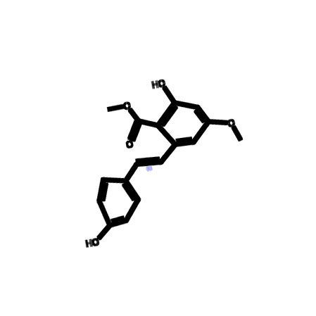 COC(=O)c1c(O)cc(OC)cc1/C=C/c1ccc(O)cc1